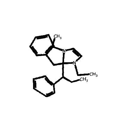 CCC(c1ccccc1)C1(Cc2ccccc2)N(CC)C=CN1CC